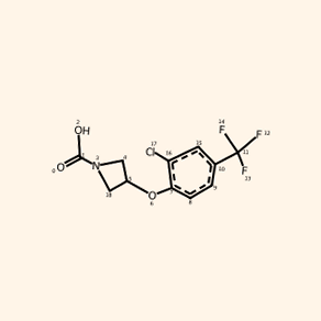 O=C(O)N1CC(Oc2ccc(C(F)(F)F)cc2Cl)C1